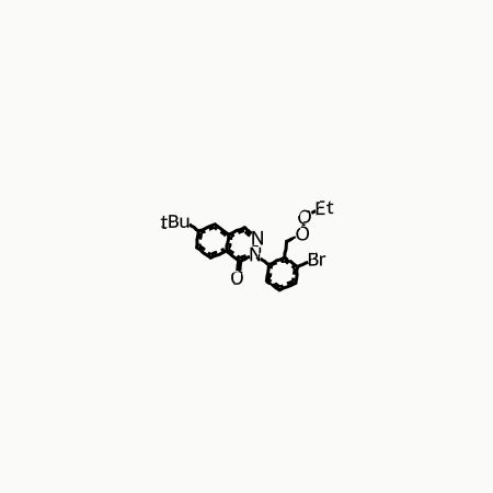 CCOOCc1c(Br)cccc1-n1ncc2cc(C(C)(C)C)ccc2c1=O